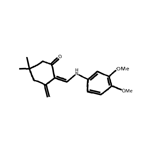 C=C1CC(C)(C)CC(=O)/C1=C\Nc1ccc(OC)c(OC)c1